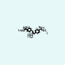 Cl.Cl.N=C(N)c1ccc(/C=C\Cc2ccc(C(=N)N)cc2)cc1